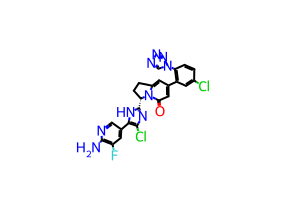 Nc1ncc(-c2[nH]c([C@@H]3CCc4cc(-c5cc(Cl)ccc5-n5cnnn5)cc(=O)n43)nc2Cl)cc1F